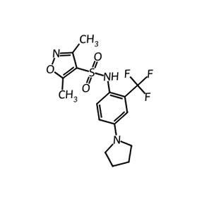 Cc1noc(C)c1S(=O)(=O)Nc1ccc(N2CCCC2)cc1C(F)(F)F